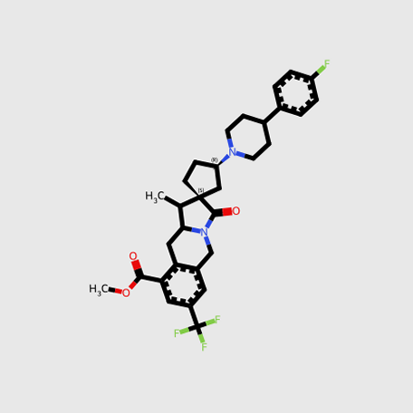 COC(=O)c1cc(C(F)(F)F)cc2c1CC1C(C)[C@@]3(CC[C@@H](N4CCC(c5ccc(F)cc5)CC4)C3)C(=O)N1C2